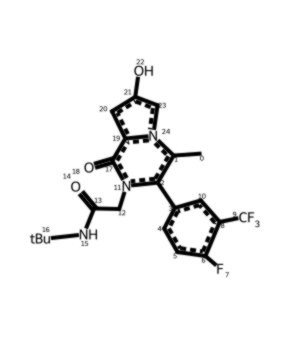 Cc1c(-c2ccc(F)c(C(F)(F)F)c2)n(CC(=O)NC(C)(C)C)c(=O)c2cc(O)cn12